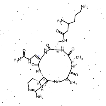 C[C@@H]1NC(=O)[C@@H](N)CNC(=O)[C@H]([C@H]2CCN=C(N)N2)NC(=O)/C(=C\NC(N)=O)NC(=O)[C@H](CNC(=O)CC(N)CCCN)NC1=O